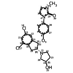 Cn1ccn(-c2ccc(O[C@H]3c4cc(Cl)cc(Cl)c4C[C@H]3N3CC[C@@H](O)C3)cc2)c1=O